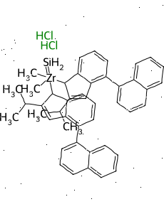 CC(C)C1=Cc2c(-c3cccc4ccccc34)cccc2[CH]1[Zr]([CH3])([CH3])(=[SiH2])[CH]1C(C(C)C)=Cc2c(-c3cccc4ccccc34)cccc21.Cl.Cl